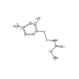 CC(C)(C)OC(=O)NCCc1ccc(N)cc1Cl